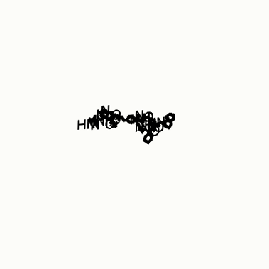 CN[C@@H](C)CN[C@H](C(=O)N1C[C@@H](Oc2cnc(N3CCC(CCCOc4cc5ncnc(Nc6n[nH]c(C)c6C)c5cc4S(=O)(=O)C(C)(C)C)CC3)nc2)C[C@H]1C(=O)N[C@@H]1CCCc2ccccc21)C1CCCCC1